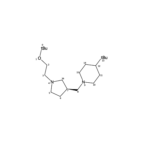 CC(C)(C)OCCN1CC[C@H](CN2CCC(C(C)(C)C)CC2)C1